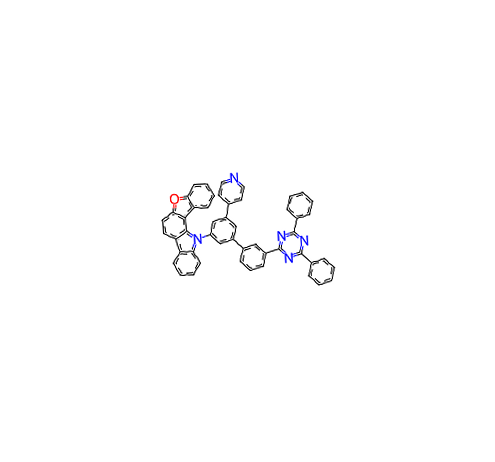 c1ccc(-c2nc(-c3ccccc3)nc(-c3cccc(-c4cc(-c5ccncc5)cc(-n5c6ccccc6c6ccc7oc8ccccc8c7c65)c4)c3)n2)cc1